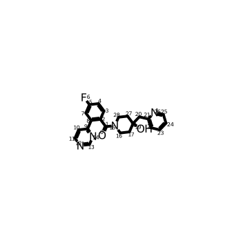 O=C(c1ccc(F)cc1-c1ccncn1)N1CCC(O)(Cc2ccccn2)CC1